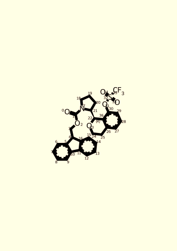 O=C(OCC1c2ccccc2-c2ccccc21)N1CCCC1[C@@H]1OCCc2cccc(OS(=O)(=O)C(F)(F)F)c21